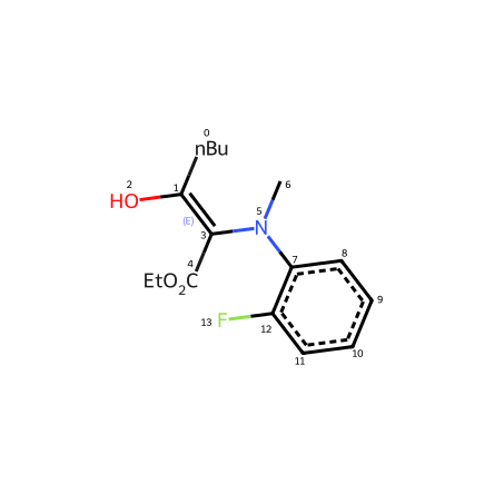 CCCC/C(O)=C(/C(=O)OCC)N(C)c1ccccc1F